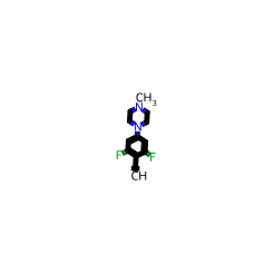 C#Cc1c(F)cc(N2CCN(C)CC2)cc1F